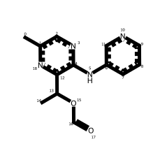 Cc1cnc(Nc2cccnc2)c(C(C)OC=O)n1